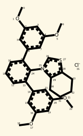 COc1cc(OC)cc(-c2cccc(-c3cc(OC)cc(OC)c3)c2-[n+]2csc3c2CCCC3)c1.[Cl-]